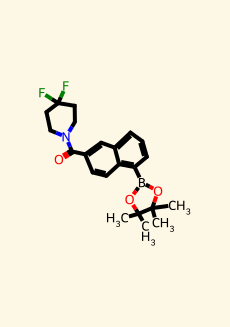 CC1(C)OB(c2cccc3cc(C(=O)N4CCC(F)(F)CC4)ccc23)OC1(C)C